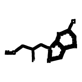 COCC(F)Cn1ncc2ncc(Cl)nc21